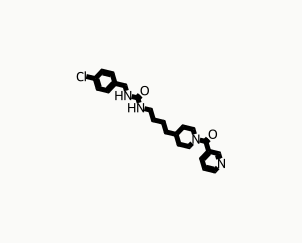 O=C(NCCCCC1CCN(C(=O)c2cccnc2)CC1)NCc1ccc(Cl)cc1